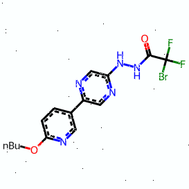 CCCCOc1ccc(-c2cnc(NNC(=O)C(F)(F)Br)cn2)cn1